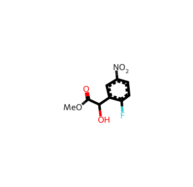 COC(=O)C(O)c1cc([N+](=O)[O-])ccc1F